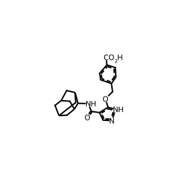 O=C(O)c1ccc(COc2[nH]ncc2C(=O)NC2C3CC4CC(C3)CC2C4)cc1